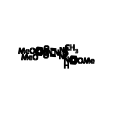 COc1ccc(Nc2cc(C)nc(N3CCN(S(=O)(=O)c4ccc(OC)c(OC)c4)CC3)n2)cc1